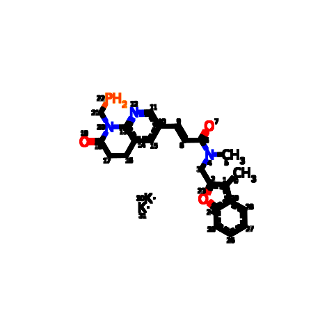 Cc1c(CN(C)C(=O)C=Cc2cnc3c(c2)CCC(=O)N3CP)oc2ccccc12.[K].[K]